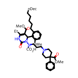 CCCCCCCCCCCCCCCc1cccc(OC)c1C1C(C(=O)OC)=C(CC)NC(=O)N1N(CCCN1CCC(C(=O)OC)(c2ccccc2)CC1)C(=O)O